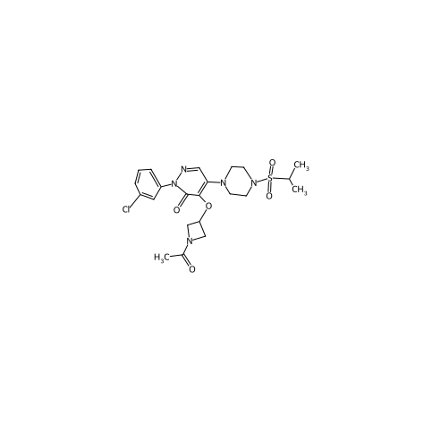 CC(=O)N1CC(Oc2c(N3CCN(S(=O)(=O)C(C)C)CC3)cnn(-c3cccc(Cl)c3)c2=O)C1